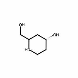 OCC1C[C@H](O)CCN1